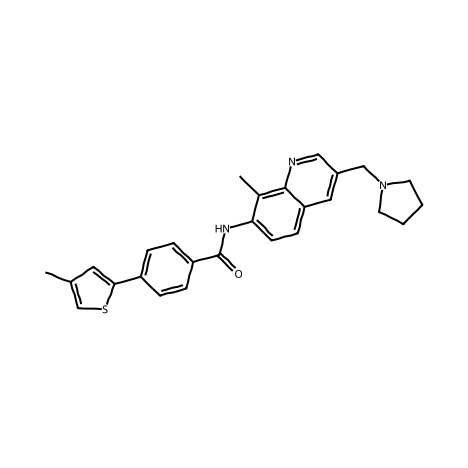 Cc1csc(-c2ccc(C(=O)Nc3ccc4cc(CN5CCCC5)cnc4c3C)cc2)c1